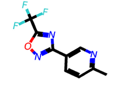 Cc1ccc(-c2noc(C(F)(F)F)n2)cn1